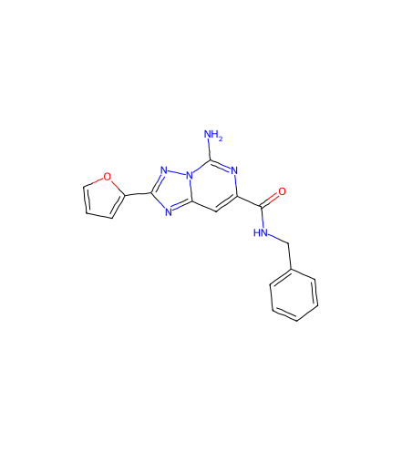 Nc1nc(C(=O)NCc2ccccc2)cc2nc(-c3ccco3)nn12